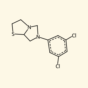 Clc1cc(Cl)cc(N2CC3SCCN3C2)c1